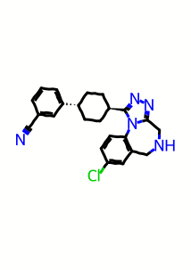 N#Cc1cccc([C@H]2CC[C@H](c3nnc4n3-c3ccc(Cl)cc3CNC4)CC2)c1